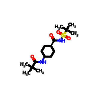 CC(C)(C)C(=O)N[C@H]1CC[C@@H](C(=O)NS(=O)(=O)C(C)(C)C)CC1